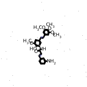 COc1cc(/C=C/c2cc(OC)c(OC)c(OC)c2)cc(NC(=O)/C=C/c2cccc(N)c2)c1O